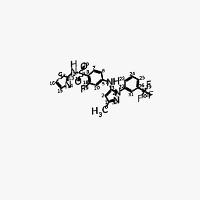 Cc1cc(Nc2ccc(S(=O)(=O)Nc3nccs3)c(F)c2)n(-c2cccc(C(F)(F)F)c2)n1